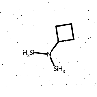 [SiH3]N([SiH3])C1CCC1